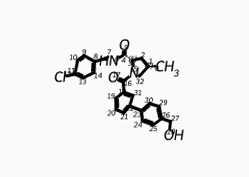 C[C@@H]1C[C@@H](C(=O)NCc2ccc(Cl)cc2)N(C(=O)c2cccc(-c3ccc(CO)cc3)c2)C1